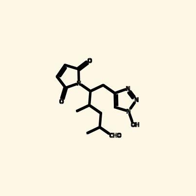 CC(C=O)CC(C)C(Cc1cn(O)nn1)N1C(=O)C=CC1=O